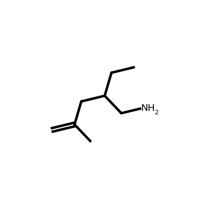 C=C(C)CC(CC)CN